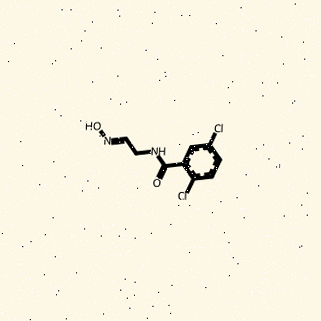 O=C(NCC=NO)c1cc(Cl)ccc1Cl